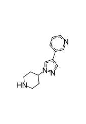 c1cncc(-c2cnn(C3CCNCC3)c2)c1